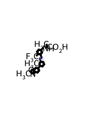 Cc1nc2ccc(-c3cccc(/C=C/c4cc(CNC(C)C(=O)O)ccc4C(F)(F)F)c3C)cc2o1